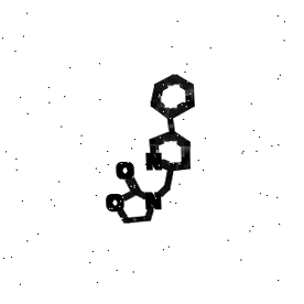 O=C1OCCN1Cc1ccc(-c2ccccc2)cn1